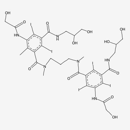 Cc1c(NC(=O)CO)c(I)c(C(=O)NCC(O)CO)c(I)c1C(=O)N(C)CCCN(C)C(=O)c1c(I)c(NC(=O)CO)c(I)c(C(=O)NCC(O)CO)c1I